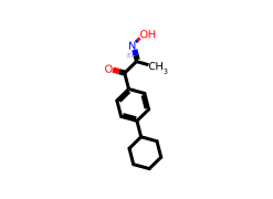 C/C(=N\O)C(=O)c1ccc(C2CCCCC2)cc1